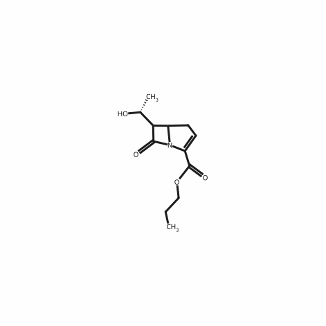 CCCOC(=O)C1=CCC2C([C@@H](C)O)C(=O)N12